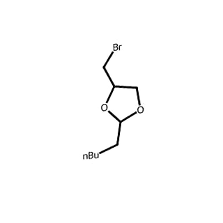 CCCCCC1OCC(CBr)O1